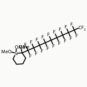 COC1(C(F)(F)C(F)(F)C(F)(F)C(F)(F)C(F)(F)C(F)(F)C(F)(F)C(F)(F)C(F)(F)C(F)(F)F)CCCC[Si]1(OC)OC